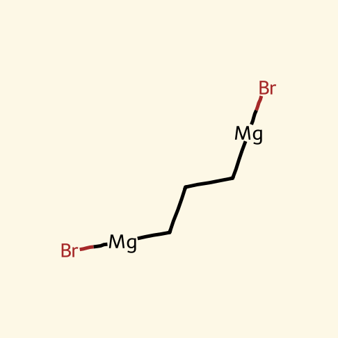 [Br][Mg][CH2]C[CH2][Mg][Br]